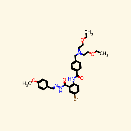 CCOCCN(CCOCC)Cc1ccc(C(=O)Nc2ccc(Br)cc2C(=O)N/N=C/c2ccc(OC)cc2)cc1